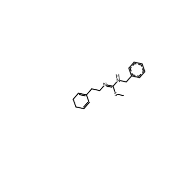 CS/C(=N\CCC1=CCCC=C1)NCc1ccccc1